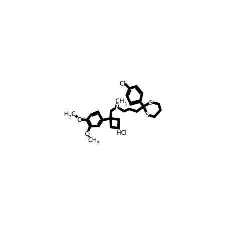 COc1ccc(C2(CN(C)CCCC3(c4ccc(Cl)cc4)SCCCS3)CCC2)cc1OC.Cl